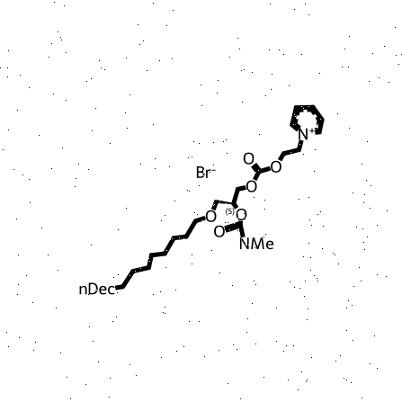 CCCCCCCCCCCCCCCCCCOC[C@@H](COC(=O)OCC[n+]1ccccc1)OC(=O)NC.[Br-]